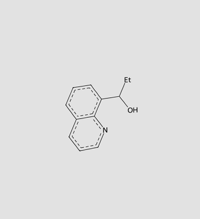 CCC(O)c1cccc2cccnc12